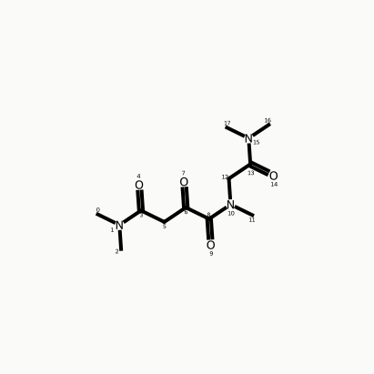 CN(C)C(=O)CC(=O)C(=O)N(C)CC(=O)N(C)C